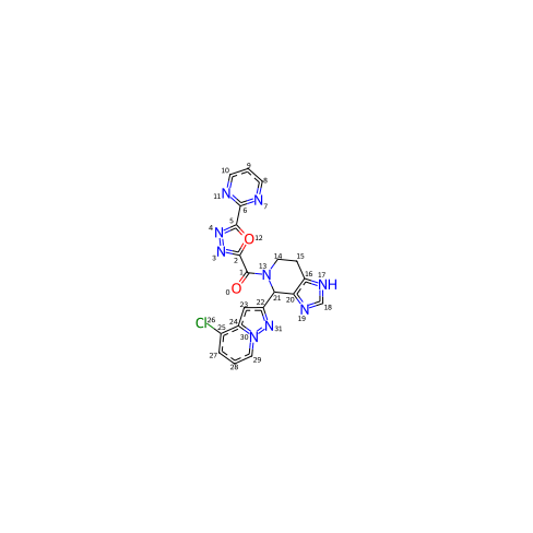 O=C(c1nnc(-c2ncccn2)o1)N1CCc2[nH]cnc2C1c1cc2c(Cl)cccn2n1